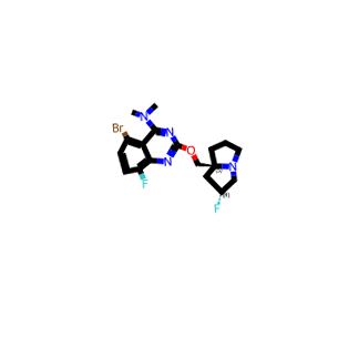 CN(C)c1nc(OC[C@@]23CCCN2C[C@H](F)C3)nc2c(F)ccc(Br)c12